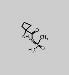 CS(C)(=O)=NC(=O)C1(N)CCC1